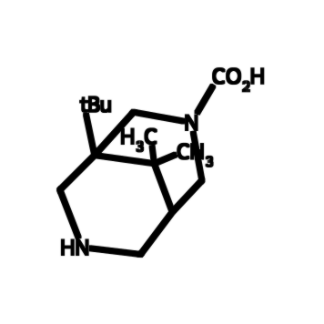 CC(C)(C)C12CNCC(CN(C(=O)O)C1)C2(C)C